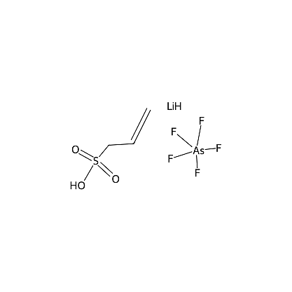 C=CCS(=O)(=O)O.F[As](F)(F)(F)F.[LiH]